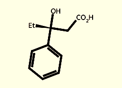 CC[C@@](O)(CC(=O)O)c1ccccc1